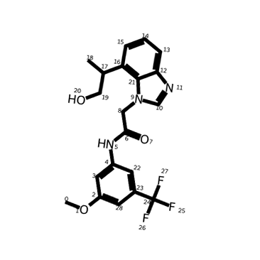 COc1cc(NC(=O)Cn2cnc3cccc(C(C)CO)c32)cc(C(F)(F)F)c1